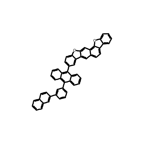 c1cc(-c2ccc3ccccc3c2)cc(-c2c3ccccc3c(-c3ccc4oc5cc6c(ccc7c8ccccc8oc67)cc5c4c3)c3ccccc23)c1